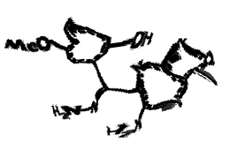 COc1ccc(O)c(C(=NN)c2nc3nonc3nc2N)c1